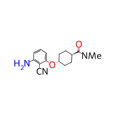 CNC(=O)[C@H]1CC[C@H](Oc2cccc(N)c2C#N)CC1